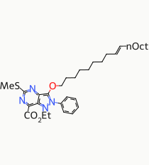 CCCCCCCCC=CCCCCCCCCOc1c2nc(SC)nc(C(=O)OCC)c2nn1-c1ccccc1